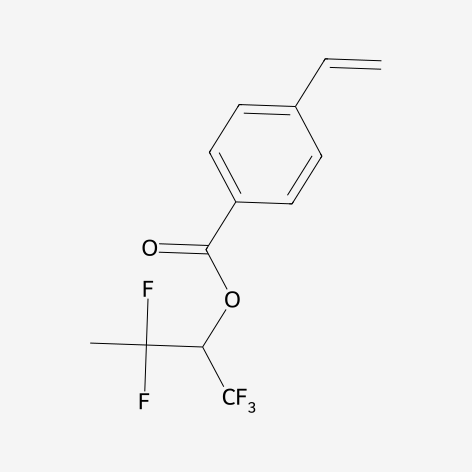 C=Cc1ccc(C(=O)OC(C(C)(F)F)C(F)(F)F)cc1